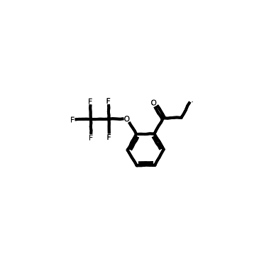 [CH2]CC(=O)c1ccccc1OC(F)(F)C(F)(F)F